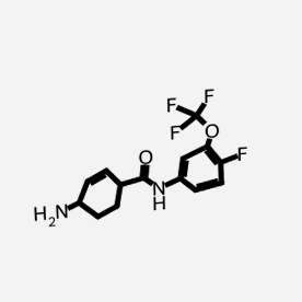 NC1C=CC(C(=O)Nc2ccc(F)c(OC(F)(F)F)c2)CC1